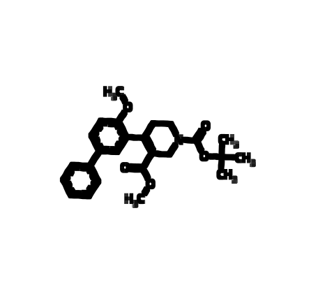 COC(=O)C1=C(c2cc(-c3ccccc3)ccc2OC)CCN(C(=O)OC(C)(C)C)C1